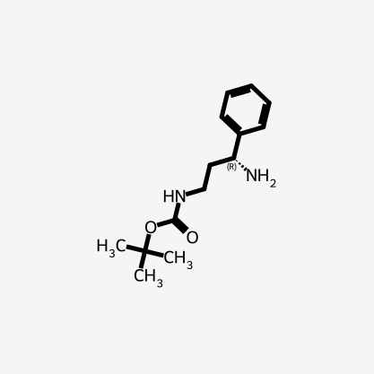 CC(C)(C)OC(=O)NCC[C@@H](N)c1ccccc1